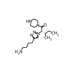 CCC(C)[C@@H](C(=O)N1CCNCC1)n1cc(CCCCN)nn1